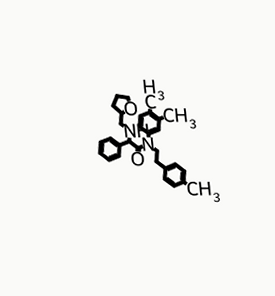 Cc1ccc(CCN(C(=O)C(NCC2CCCO2)c2ccccc2)c2ccc(C)c(C)c2)cc1